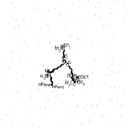 CCCCCCCCC(CCCCCCCC)N(C)C(=O)C(C)(C)CCCCCCOC(=O)[C@@H]1C[C@H](OC(=O)CCN(C)C)CN1CCCCCCCC(=O)N(C)CCCC(CCCCC)CCCCC